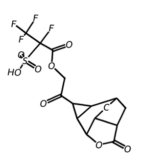 O=C1OC2C3CC(CC13)C1C(C(=O)COC(=O)C(F)(C(F)(F)F)S(=O)(=O)O)C21